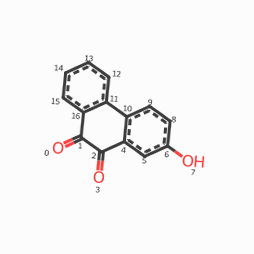 O=C1C(=O)c2cc(O)ccc2-c2ccccc21